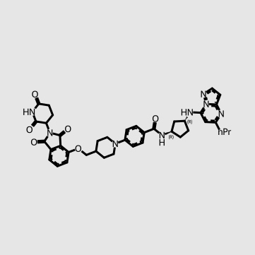 CCCc1cc(N[C@@H]2CC[C@@H](NC(=O)c3ccc(N4CCC(COc5cccc6c5C(=O)N(C5CCC(=O)NC5=O)C6=O)CC4)cc3)C2)n2nccc2n1